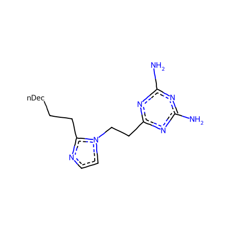 CCCCCCCCCCCCc1nccn1CCc1nc(N)nc(N)n1